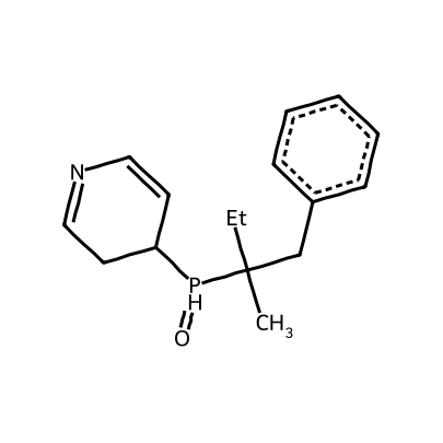 CCC(C)(Cc1ccccc1)[PH](=O)C1C=CN=CC1